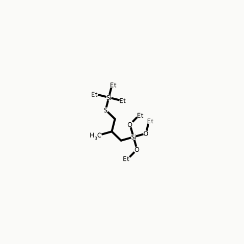 CCO[Si](CC(C)CS[Si](CC)(CC)CC)(OCC)OCC